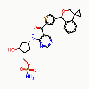 NS(=O)(=O)OC[C@H]1C[C@@H](Nc2ncncc2C(=O)c2cc(C3OCC4(CC4)c4ccccc43)cs2)C[C@@H]1O